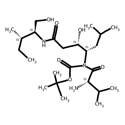 CC[C@H](C)[C@@H](CO)NC(=O)C[C@H](O)[C@H](CC(C)C)N(C(=O)OC(C)(C)C)C(=O)[C@@H](N)C(C)C